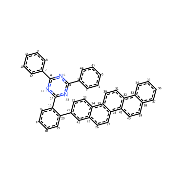 c1ccc(-c2nc(-c3ccccc3)nc(-c3ccccc3-c3ccc4c(ccc5c4ccc4c6ccccc6ccc45)c3)n2)cc1